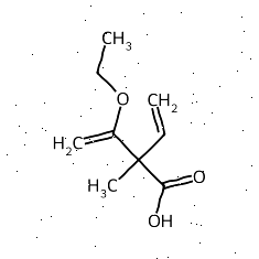 C=CC(C)(C(=C)OCC)C(=O)O